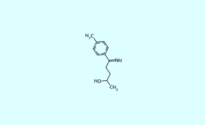 Cc1ccc(C(=N)CCC(C)O)cc1